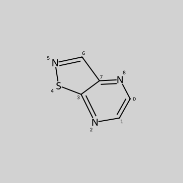 c1cnc2sncc2n1